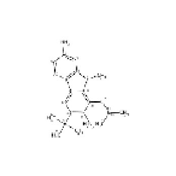 CC1c2cc(N)ccc2-c2cc(C(C)(C)C)c(N)c(O[SiH](C)C)c21